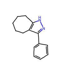 c1ccc(-c2n[nH]c3c2CCCCC3)cc1